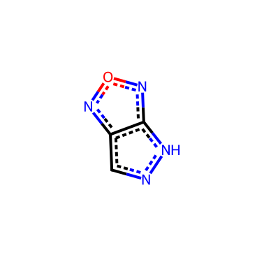 c1n[nH]c2nonc12